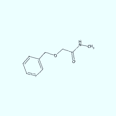 CNC(=O)COCc1c[c]ccc1